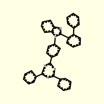 c1ccc(-c2nc(-c3ccccc3)nc(-c3ccc(-n4c(-c5ccccc5-c5ccccc5)nc5ccccc54)cc3)n2)cc1